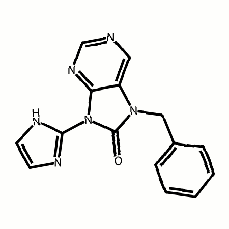 O=c1n(Cc2ccccc2)c2cncnc2n1-c1ncc[nH]1